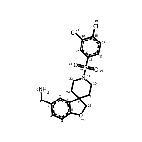 NCc1ccc2c(c1)C1(CCN(S(=O)(=O)c3ccc(Cl)c(Cl)c3)CC1)CO2